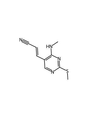 CNc1nc(SC)ncc1C=CC#N